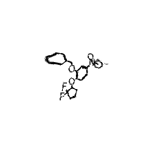 O=[N+]([O-])c1ccc(OC2CCCC2(F)F)c(OCc2ccccc2)c1